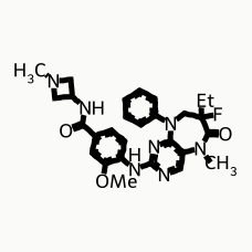 CCC1(F)CN(c2ccccc2)c2nc(Nc3ccc(C(=O)NC4CN(C)C4)cc3OC)ncc2N(C)C1=O